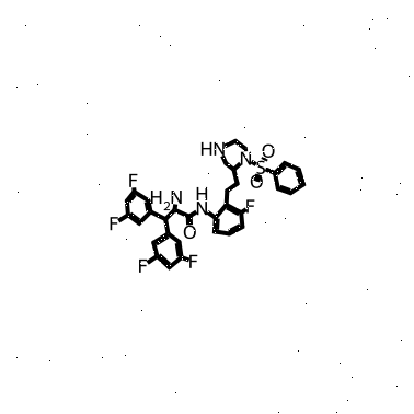 NC(C(=O)Nc1cccc(F)c1CCC1CNCCN1S(=O)(=O)c1ccccc1)C(c1cc(F)cc(F)c1)c1cc(F)cc(F)c1